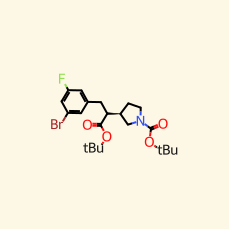 CC(C)(C)OC(=O)C(Cc1cc(F)cc(Br)c1)[C@H]1CCN(C(=O)OC(C)(C)C)C1